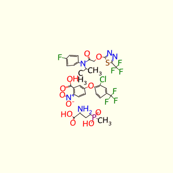 CC(C)N(C(=O)COc1nnc(C(F)(F)F)s1)c1ccc(F)cc1.CP(=O)(O)CCC(N)C(=O)O.O=C(O)c1cc(Oc2ccc(C(F)(F)F)cc2Cl)ccc1[N+](=O)[O-]